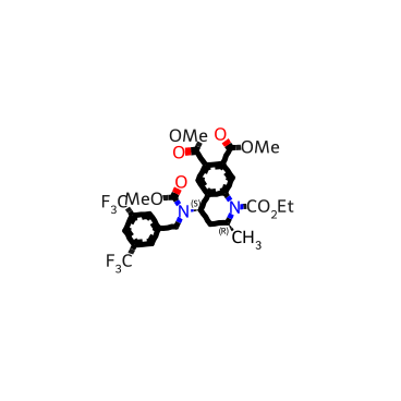 CCOC(=O)N1c2cc(C(=O)OC)c(C(=O)OC)cc2[C@@H](N(Cc2cc(C(F)(F)F)cc(C(F)(F)F)c2)C(=O)OC)C[C@H]1C